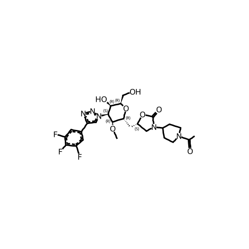 CO[C@@H]1[C@@H](n2cc(-c3cc(F)c(F)c(F)c3)nn2)[C@@H](O)[C@@H](CO)O[C@@H]1C[C@H]1CN(C2CCN(C(C)=O)CC2)C(=O)O1